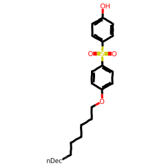 CCCCCCCCCCCCCCCCOc1ccc(S(=O)(=O)c2ccc(O)cc2)cc1